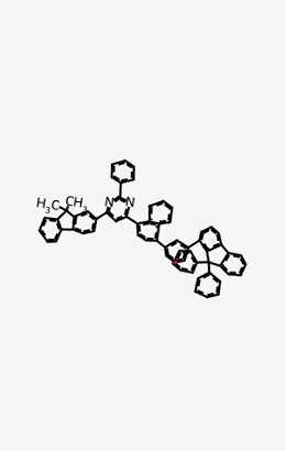 CC1(C)c2ccccc2-c2ccc(-c3cc(-c4ccc(-c5cccc(-c6cccc7c6C(c6ccccc6)(c6ccccc6)c6ccccc6-7)c5)c5ccccc45)nc(-c4ccccc4)n3)cc21